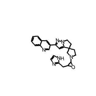 c1ccc2ncc(-c3cc4n(n3)CCC43CCN(C4OC4Cc4ncc[nH]4)C3)cc2c1